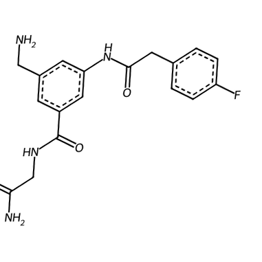 NCc1cc(NC(=O)Cc2ccc(F)cc2)cc(C(=O)NCC(N)=O)c1